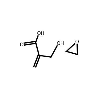 C1CO1.C=C(CO)C(=O)O